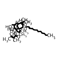 CCCCCCCCCCCC(=O)O[C@@]12C[C@@H](C)[C@]34C=C(C)[C@H](OC(=O)C(C)=C(C)C)[C@@]3(O)[C@H](O)C(CO)=C[C@H](C4=O)[C@@H]1C2(C)C